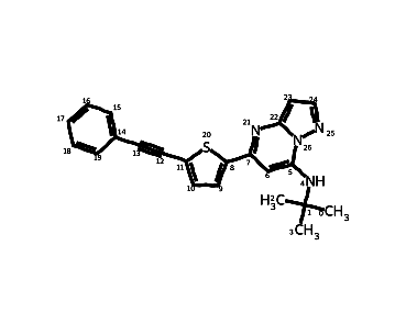 CC(C)(C)Nc1cc(-c2ccc(C#Cc3ccccc3)s2)nc2ccnn12